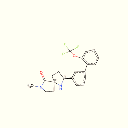 CN1CC[C@@]2(CC[C@@H](c3cccc(-c4ccccc4OC(F)(F)F)c3)N2)C1=O